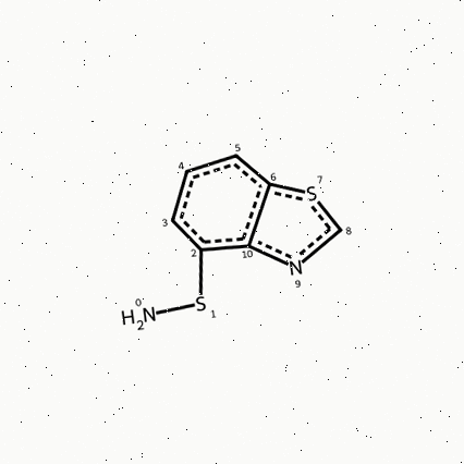 NSc1cccc2scnc12